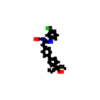 CC(C)(O)c1ccc(C2CCC(C/C(=N\O)Nc3cccc(Cl)c3)CC2)cc1